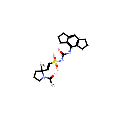 CC(=O)N1CCCC1(C)/C=C/S(=O)(=O)NC(=O)Nc1c2c(cc3c1CCC3)CCC2